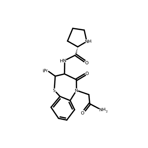 CC(C)C1Sc2ccccc2N(CC(N)=O)C(=O)C1NC(=O)[C@@H]1CCCN1